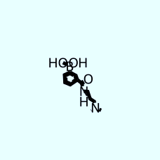 CN(C)CCCNC(=O)c1cccc(B(O)O)c1